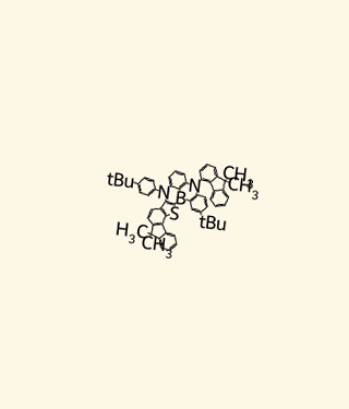 CC(C)(C)c1ccc(N2c3cccc4c3B(c3cc(C(C)(C)C)ccc3N4c3cccc4c3-c3ccccc3C4(C)C)c3sc4c5c(ccc4c32)C(C)(C)c2ccccc2-5)cc1